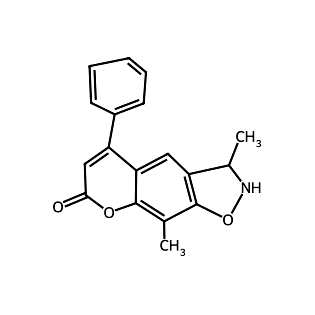 Cc1c2c(cc3c(-c4ccccc4)cc(=O)oc13)C(C)NO2